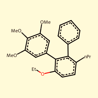 CCCc1c[c]c(OCC)c(-c2cc(OC)c(OC)c(OC)c2)c1-c1ccccc1